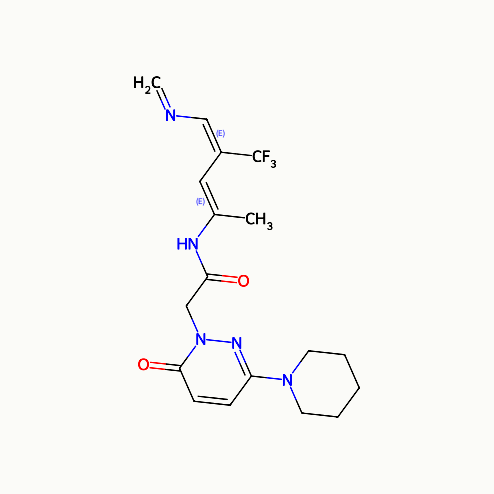 C=N/C=C(\C=C(/C)NC(=O)Cn1nc(N2CCCCC2)ccc1=O)C(F)(F)F